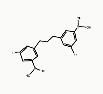 CCc1cc(CCCc2cc(CC)cc(B(O)O)c2)cc(B(O)O)c1